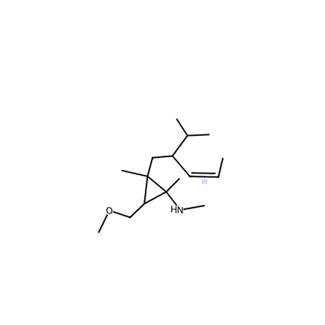 C/C=C\C(CC1(C)C(COC)C1(C)NC)C(C)C